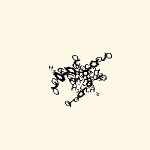 CCC(CC)(c1cc(C(C)(C)c2ccc(OCC3CO3)cc2)ccc1OCC1CO1)c1cc(C(C)(C)c2ccc(OCC3CO3)cc2)cc(C(CC)(CC)c2cc(C(C)(C)c3ccc(OCC4CO4)cc3)ccc2OCC2CO2)c1OCC1CO1